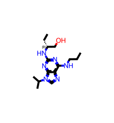 CCCNc1nc(N[C@H](CC)CO)nc2c1ncn2C(C)C